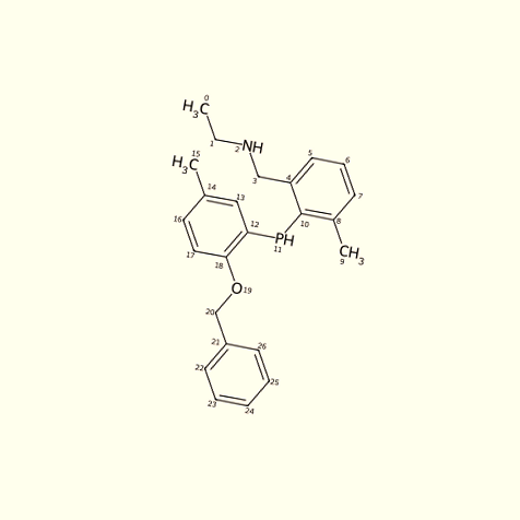 CCNCc1cccc(C)c1Pc1cc(C)ccc1OCc1ccccc1